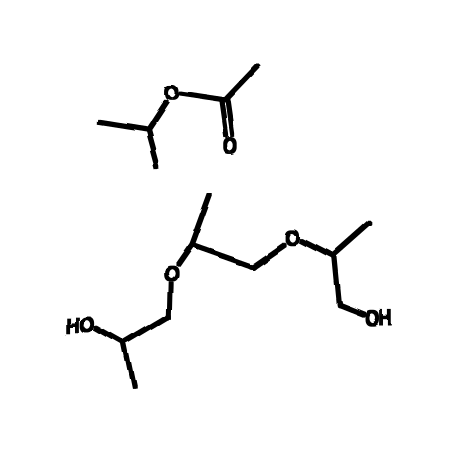 CC(=O)OC(C)C.CC(O)COC(C)COC(C)CO